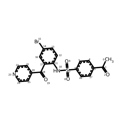 CC(=O)c1ccc(S(=O)(=O)Nc2ccc(Br)cc2C(=O)c2ccncc2)cc1